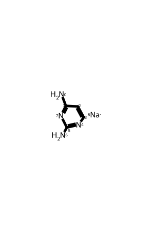 Nc1ccnc(N)n1.[Na]